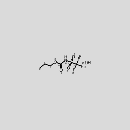 CCCOC(=O)NS(=O)(=O)C(F)(F)F.[LiH]